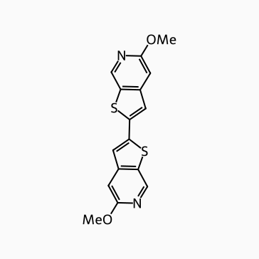 COc1cc2cc(-c3cc4cc(OC)ncc4s3)sc2cn1